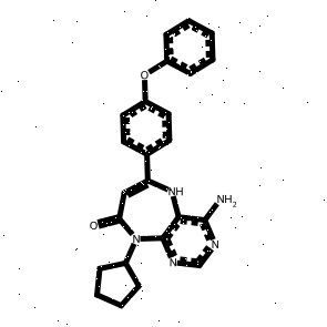 Nc1ncnc2c1NC(c1ccc(Oc3ccccc3)cc1)=CC(=O)N2C1CCCC1